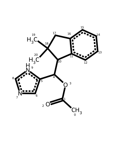 CC(=O)OC(c1cnc[nH]1)C1c2ccccc2CC1(C)C